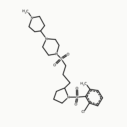 Cc1cccc(Cl)c1S(=O)(=O)N1CCCC1CCCS(=O)(=O)N1CCN(C2CCN(C)CC2)CC1